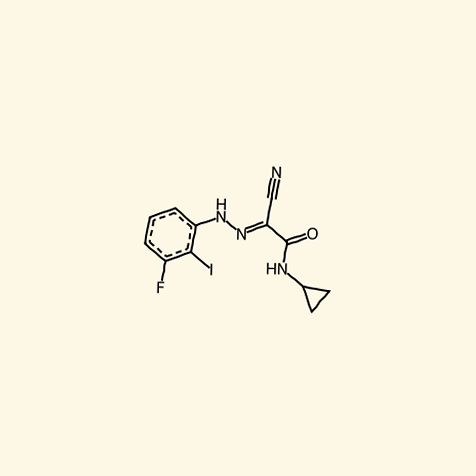 N#C/C(=N\Nc1cccc(F)c1I)C(=O)NC1CC1